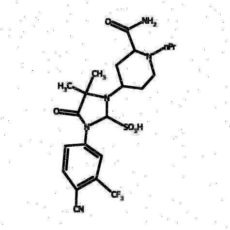 CCCN1CCC(N2C(S(=O)(=O)O)N(c3ccc(C#N)c(C(F)(F)F)c3)C(=O)C2(C)C)CC1C(N)=O